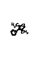 C=C1COC(C)=C1N1CCCC1